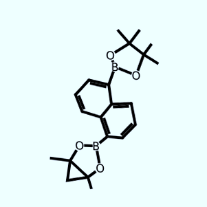 CC1(C)OB(c2cccc3c(B4OC5(C)CC5(C)O4)cccc23)OC1(C)C